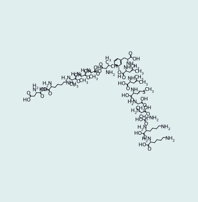 CC(C)C[C@H](N)C(=O)O.CC(C)C[C@H](N)C(=O)O.CC(C)[C@H](N)C(=O)O.CSCC[C@H](N)C(=O)O.C[C@H](N)C(=O)O.C[C@H](N)C(=O)O.C[C@H](N)C(=O)O.C[C@H](N)C(=O)O.C[C@H](N)C(=O)O.NCC(=O)O.NCCCC[C@H](N)C(=O)O.NCCCC[C@H](N)C(=O)O.NCCCC[C@H](N)C(=O)O.N[C@@H](CC(=O)O)C(=O)O.N[C@@H](Cc1ccccc1)C(=O)O